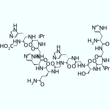 CC(C)[C@H](NC(=O)CNC(=O)[C@@H](N)Cc1cnc[nH]1)C(=O)N[C@@H](CO)C(=O)NCC(=O)N[C@@H](Cc1cnc[nH]1)C(=O)NCC(=O)N[C@@H](CCC(N)=O)C(=O)N[C@@H](Cc1cnc[nH]1)C(=O)NCC(=O)N[C@H](C(=O)N[C@@H](Cc1cnc[nH]1)C(=O)NCC(=O)O)C(C)C